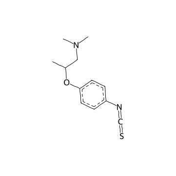 CC(CN(C)C)Oc1ccc(N=C=S)cc1